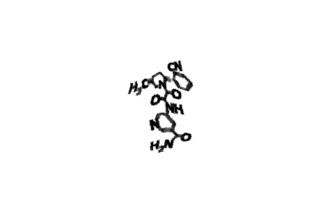 C[C@H]1CC[C@H](c2ccccc2C#N)N(C(=O)C(=O)Nc2cncc(C(N)=O)c2)C1